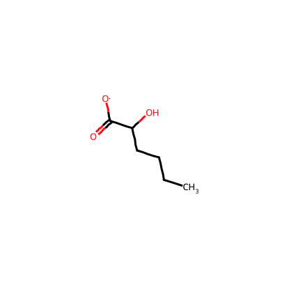 CCCCC(O)C([O])=O